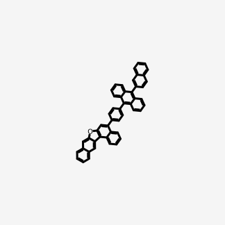 c1ccc2cc(-c3c4ccccc4c(-c4ccc(-c5cc6oc7cc8ccccc8cc7c6c6ccccc56)cc4)c4ccccc34)ccc2c1